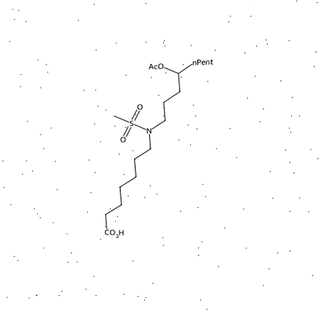 CCCCCC(CCCN(CCCCCCC(=O)O)S(C)(=O)=O)OC(C)=O